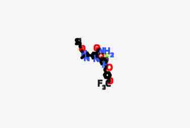 Cc1nc(-c2cnc(O[C@H]3CCN(C(=O)Cc4ccc(OC(F)(F)F)cc4)C[C@@H]3F)c(C(N)=O)c2)cn1COCC[Si](C)(C)C